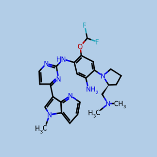 CN(C)C[C@@H]1CCCN1c1cc(OC(F)F)c(Nc2nccc(-c3cn(C)c4cccnc34)n2)cc1N